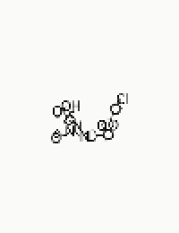 O=C(O)c1cc2c(nc(CN3CCC(c4cccc5c4OCC(c4ccc(Cl)cc4)O5)CC3)n2CC2CCO2)s1